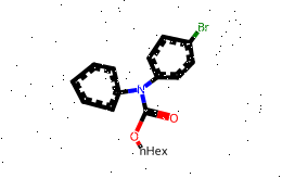 [CH2]CCCCCOC(=O)N(c1ccccc1)c1ccc(Br)cc1